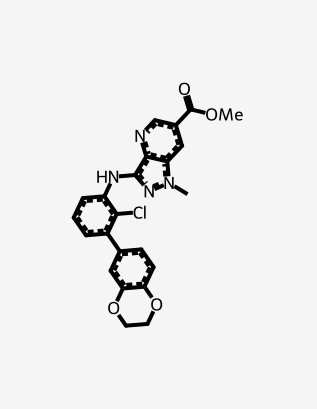 COC(=O)c1cnc2c(Nc3cccc(-c4ccc5c(c4)OCCO5)c3Cl)nn(C)c2c1